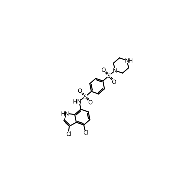 O=S(=O)(Nc1ccc(Cl)c2c(Cl)c[nH]c12)c1ccc(S(=O)(=O)N2CCNCC2)cc1